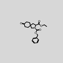 CCOC(=O)C1CC2(CCC(=O)CC2)CN1C(=O)OCc1ccccc1